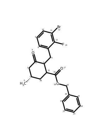 C[C@@H]1CC(=O)C(Cc2cccc(Br)c2F)C(C(=O)OCc2ccccc2)C1